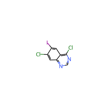 Clc1cc2ncnc(Cl)c2cc1I